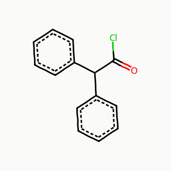 O=C(Cl)C(c1ccccc1)c1ccccc1